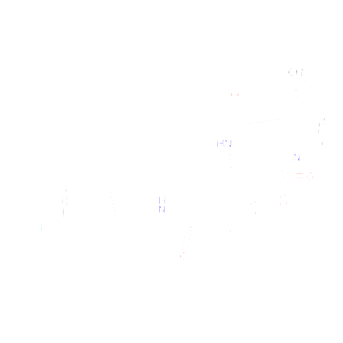 CC1C=CN2C1C(=O)Nc1cc(C(=O)NCc3cccc(F)c3)ccc1S2(=O)=O